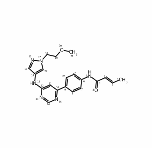 CC=CC(=O)Nc1ccc(-c2cc(Nc3cnn(CCOC)c3)ncn2)cc1